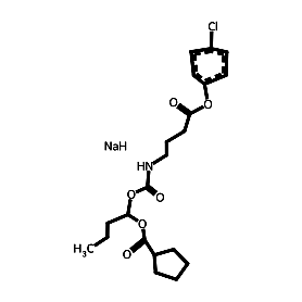 CCCC(OC(=O)NCCCC(=O)Oc1ccc(Cl)cc1)OC(=O)C1CCCC1.[NaH]